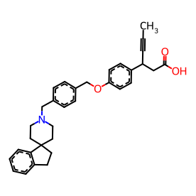 CC#CC(CC(=O)O)c1ccc(OCc2ccc(CN3CCC4(CCc5ccccc54)CC3)cc2)cc1